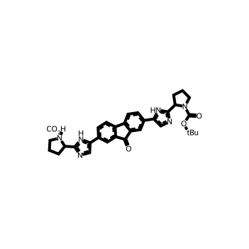 CC(C)(C)OC(=O)N1CCCC1c1ncc(-c2ccc3c(c2)C(=O)c2cc(-c4cnc(C5CCCN5C(=O)O)[nH]4)ccc2-3)[nH]1